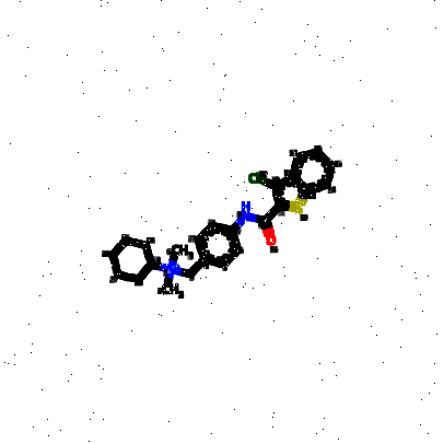 C[N+](C)(Cc1ccc(NC(=O)c2sc3ccccc3c2Cl)cc1)C1CCCCC1